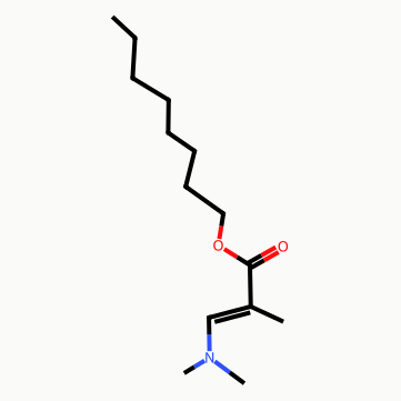 CCCCCCCCOC(=O)C(C)=CN(C)C